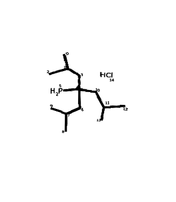 CC(C)CC(P)(CC(C)C)CC(C)C.Cl